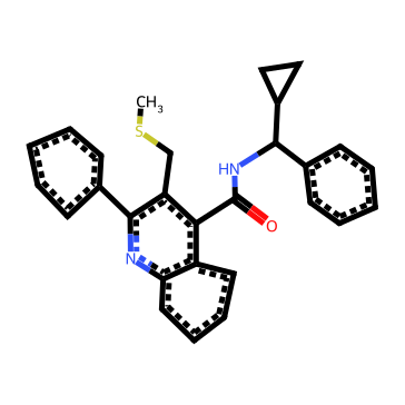 CSCc1c(-c2ccccc2)nc2ccccc2c1C(=O)NC(c1ccccc1)C1CC1